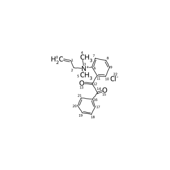 C=CC[N+](C)(C)c1ccccc1C(=O)C(=O)c1ccccc1.[Cl-]